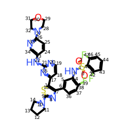 O=S(=O)(Nc1cc(-c2nc(N3CCCC3)sc2-c2ccnc(Nc3ccc(N4CCOCC4)nc3)n2)ccc1F)c1c(F)cccc1F